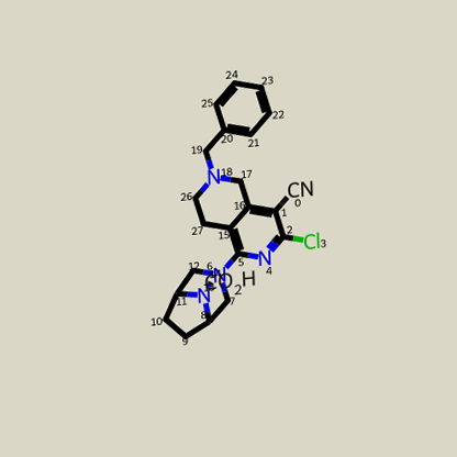 N#Cc1c(Cl)nc(N2CC3CCC(C2)N3C(=O)O)c2c1CN(Cc1ccccc1)CC2